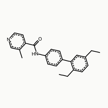 CCc1ccc(CC)c(-c2ccc(NC(=O)c3ccncc3C)cc2)c1